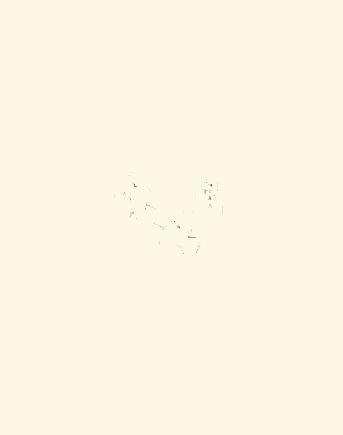 CCN1C(=O)/C(=C\C=C2\Sc3ccccc3N2CCC[Si](C)(C)C)SC1=S